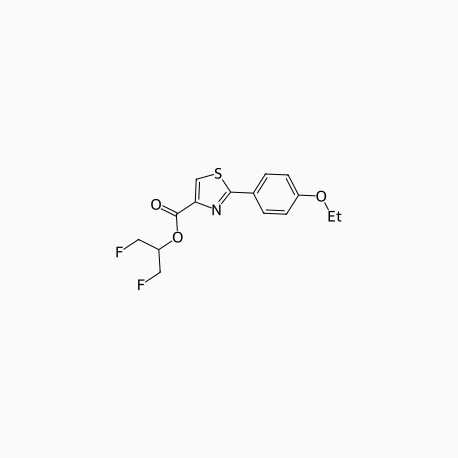 CCOc1ccc(-c2nc(C(=O)OC(CF)CF)cs2)cc1